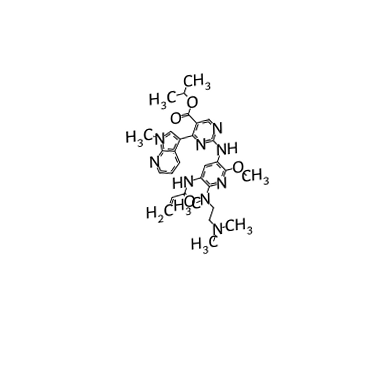 C=CC(=O)Nc1cc(Nc2ncc(C(=O)OC(C)C)c(-c3cn(C)c4ncccc34)n2)c(OC)nc1N(C)CCN(C)C